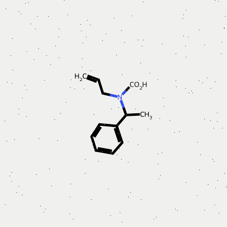 C=CCN(C(=O)O)C(C)c1ccccc1